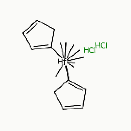 Cl.Cl.[CH3][Hf]([CH3])([CH3])([CH3])([CH3])([CH3])([CH3])([CH3])([CH3])([C]1=CC=CC1)[C]1=CC=CC1